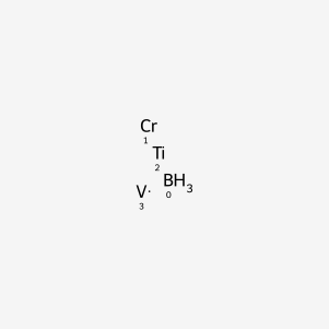 B.[Cr].[Ti].[V]